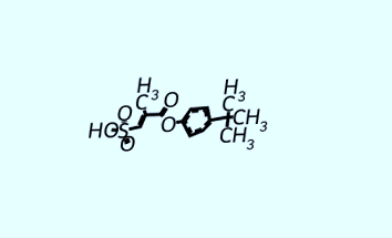 CC(=CS(=O)(=O)O)C(=O)Oc1ccc(C(C)(C)C)cc1